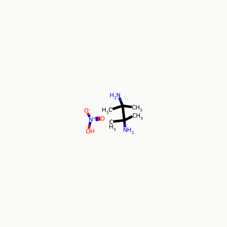 CC(C)(N)C(C)(C)N.O=[N+]([O-])O